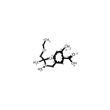 CCOCC(C)(C)N(C)Cc1ccc(C)c(C(=O)O)c1